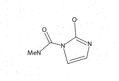 CNC(=O)n1ccnc1[O]